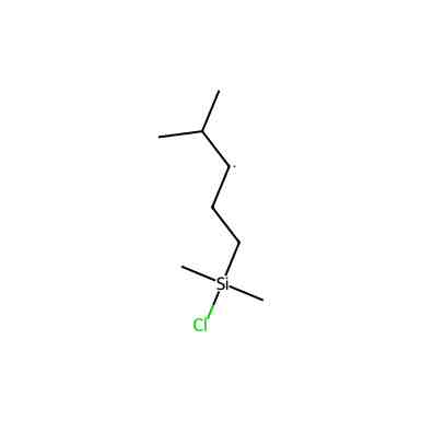 CC(C)[CH]CC[Si](C)(C)Cl